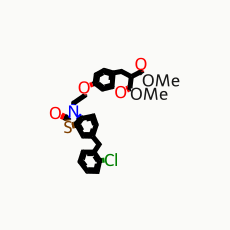 COC(=O)C(Cc1ccc(OCCn2c(=O)sc3cc(Cc4ccccc4Cl)ccc32)cc1)C(=O)OC